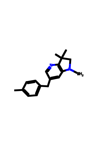 BN1CC(C)(C)c2ncc(Cc3ccc(C)cc3)cc21